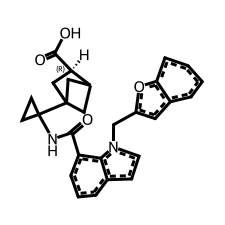 O=C(NC1(C23CC(C2)[C@H](C(=O)O)C3)CC1)c1cccc2ccn(Cc3cc4ccccc4o3)c12